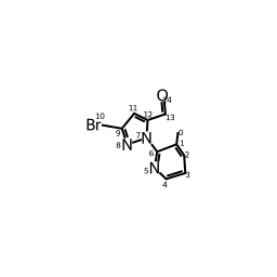 Cc1cccnc1-n1nc(Br)cc1C=O